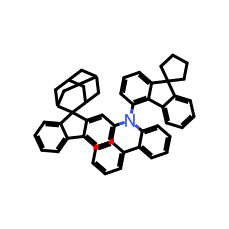 c1ccc(-c2ccccc2N(c2ccc3c(c2)C2(c4ccccc4-3)C3CC4CC(C3)CC2C4)c2cccc3c2-c2ccccc2C32CCCC2)cc1